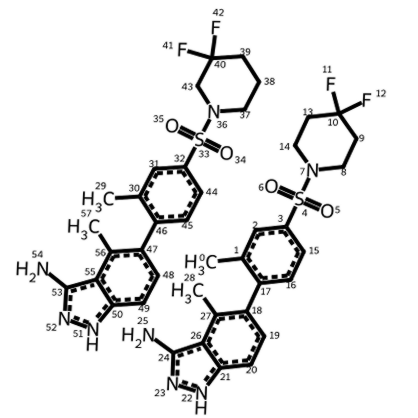 Cc1cc(S(=O)(=O)N2CCC(F)(F)CC2)ccc1-c1ccc2[nH]nc(N)c2c1C.Cc1cc(S(=O)(=O)N2CCCC(F)(F)C2)ccc1-c1ccc2[nH]nc(N)c2c1C